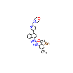 Cc1c(S)cc(C(F)(F)F)cc1NC(=O)Nc1ccc(-c2ccc(CN3CCOCC3)nc2)c2ccccc12